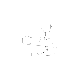 CC(C)(C)OC(=O)N[C@@H](Cc1ccccc1)C(=O)C1C2CC3CC(C2)CC1(N)C3